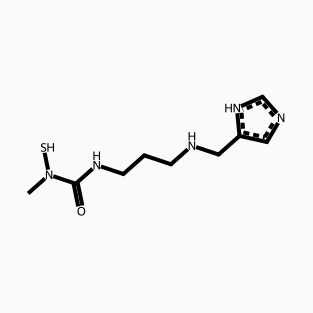 CN(S)C(=O)NCCCNCc1cnc[nH]1